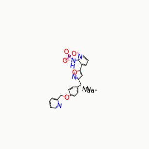 O=P([O-])([O-])Nc1ncccc1-c1cc(Cc2ccc(OCc3ccccn3)cc2)no1.[Na+].[Na+]